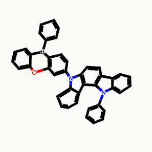 c1ccc(B2c3ccccc3Oc3cc(-n4c5ccccc5c5c4ccc4c6ccccc6n(-c6ccccc6)c45)ccc32)cc1